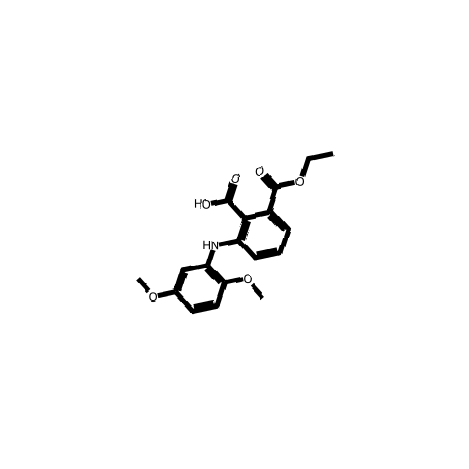 CCOC(=O)c1cccc(Nc2cc(OC)ccc2OC)c1C(=O)O